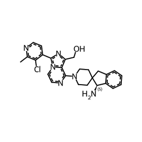 Cc1nccc(-c2nc(CO)c3c(N4CCC5(CC4)Cc4ccccc4[C@H]5N)nccn23)c1Cl